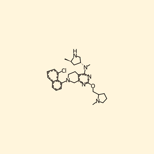 C[C@@H]1C[C@@H](N(C)c2nc(OCC3CCCN3C)nc3c2CCN(c2cccc4cccc(Cl)c24)C3)CN1